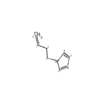 C=CCC[C]1C=CC=C1